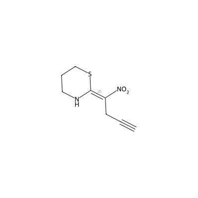 C#CC/C(=C1\NCCCS1)[N+](=O)[O-]